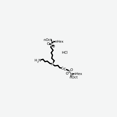 CCCCCCCCN(CCCCCC)S(=O)(=O)CCCCCCN(CCCCN)CCCCCCS(=O)(=O)N(CCCCCC)CCCCCCCC.Cl